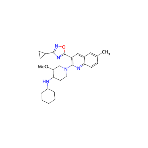 COC1CN(c2nc3ccc(C)cc3cc2-c2nc(C3CC3)no2)CCC1NC1CCCCC1